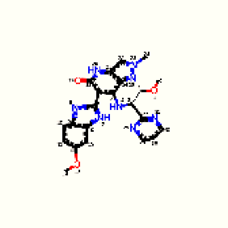 COC[C@@H](Nc1c(-c2nc3ccc(OC)cc3[nH]2)c(=O)[nH]c2cn(C)nc12)c1ncccn1